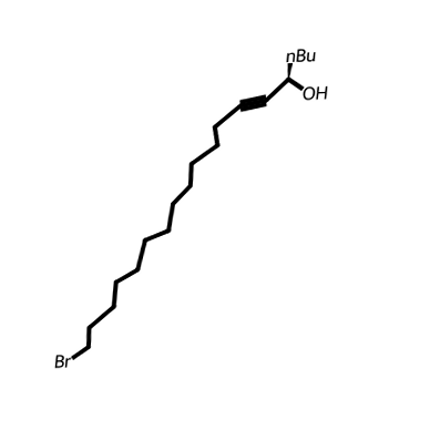 CCCC[C@@H](O)C#CCCCCCCCCCCCCBr